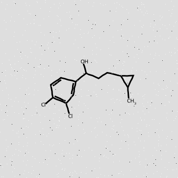 CC1CC1CCC(O)c1ccc(Cl)c(Cl)c1